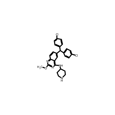 COc1nc(NC2CCNCC2)c2cc(C(c3ccc(Cl)cc3)c3ccc(Cl)cc3)ccc2n1